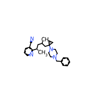 CC(C[C@@H](C)c1ncccc1C#N)CC1(N2CCN(Cc3ccccc3)CC2)CC1